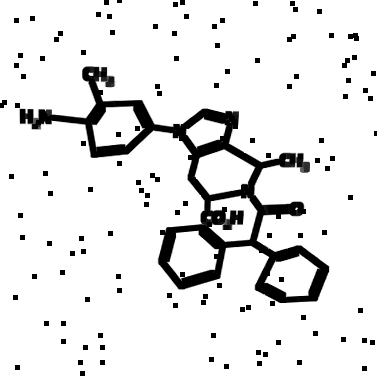 Cc1cc(-n2cnc3c2CC(C(=O)O)N(C(=O)C(c2ccccc2)c2ccccc2)C3C)ccc1N